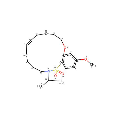 COc1ccc2c(c1)OCCCCC=CCCCCN(C(C)C)S2(=O)=O